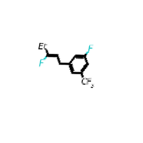 CCC(F)=CCc1cc(F)cc(C(F)(F)F)c1